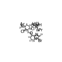 CC(=O)N(C)c1ccc(Cl)c(COc2cccn3c(Br)c(C)nc23)c1Cl.CCCN1NC1=O.Cl